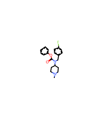 CN1CCC(N(Cc2ccc(F)cc2)C(=O)Oc2ccccc2)CC1